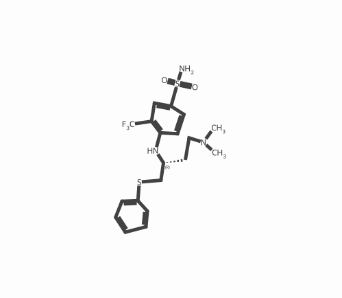 CN(C)CC[C@H](CSc1ccccc1)Nc1ccc(S(N)(=O)=O)cc1C(F)(F)F